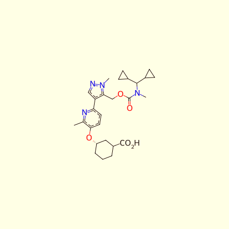 Cc1nc(-c2cnn(C)c2COC(=O)N(C)C(C2CC2)C2CC2)ccc1O[C@H]1CCCC(C(=O)O)C1